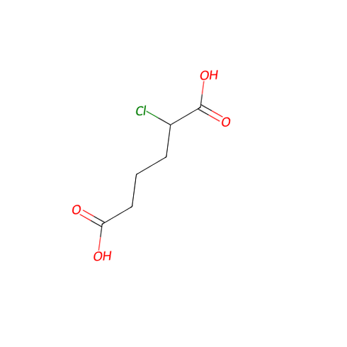 O=C(O)CCCC(Cl)C(=O)O